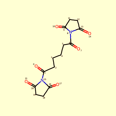 O=C(CCCCC(=O)N1C(=O)CCC1=O)N1C(=O)CCC1=O